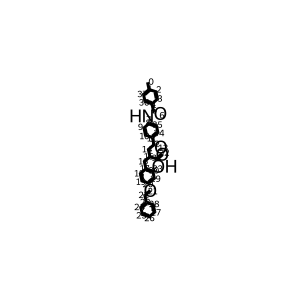 Cc1ccc(C(=O)Nc2ccc(C(=O)CC(Cc3ccc(OCc4ccccc4)cc3)C(=O)O)cc2)cc1